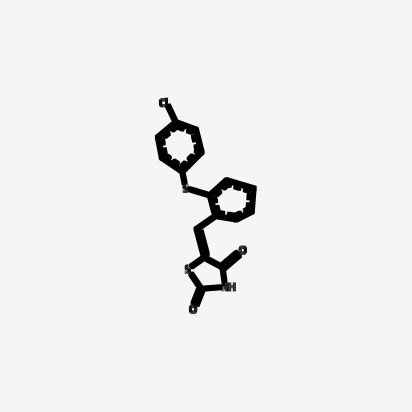 O=C1NC(=O)/C(=C\c2ccccc2Sc2ccc(Cl)cc2)S1